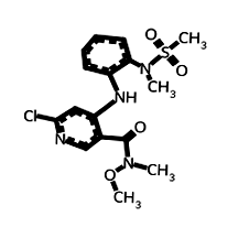 CON(C)C(=O)c1cnc(Cl)cc1Nc1ccccc1N(C)S(C)(=O)=O